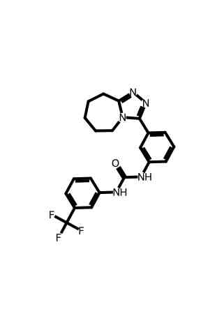 O=C(Nc1cccc(-c2nnc3n2CCCCC3)c1)Nc1cccc(C(F)(F)F)c1